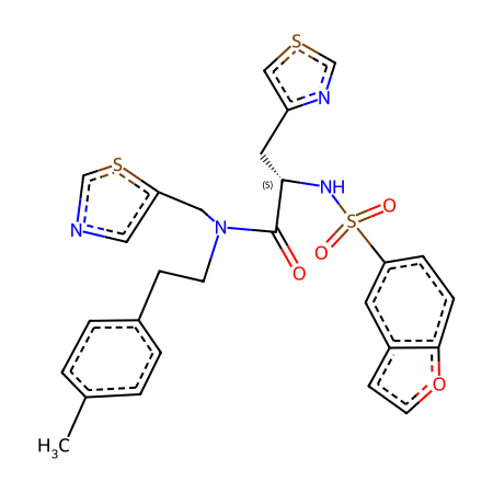 Cc1ccc(CCN(Cc2cncs2)C(=O)[C@H](Cc2cscn2)NS(=O)(=O)c2ccc3occc3c2)cc1